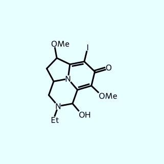 CCN1CC2CC(OC)c3c(I)c(=O)c(OC)c(n32)C1O